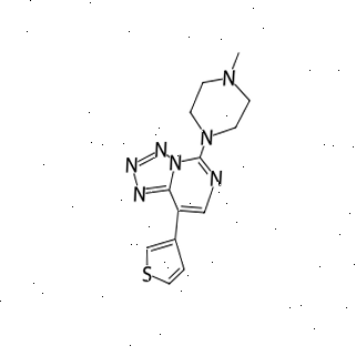 CN1CCN(c2ncc(-c3ccsc3)c3nnnn23)CC1